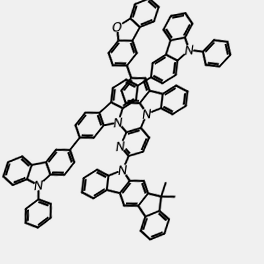 CC1(C)c2ccccc2-c2cc3c4ccccc4n(-c4ccc(-n5c6ccccc6c6cc(-c7ccc8oc9ccccc9c8c7)ccc65)c(-n5c6cc(-c7ccc8c(c7)c7ccccc7n8-c7ccccc7)ccc6c6ccc(-c7ccc8c(c7)c7ccccc7n8-c7ccccc7)cc65)n4)c3cc21